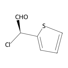 O=C[C@H](Cl)c1cccs1